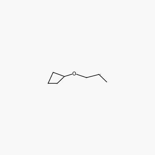 C[CH]COC1CCC1